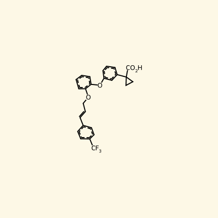 O=C(O)C1(c2cccc(Oc3ccccc3OCC=Cc3ccc(C(F)(F)F)cc3)c2)CC1